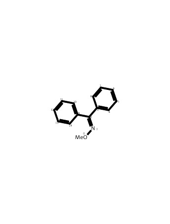 CON=C(c1c[c]ccc1)c1ccccc1